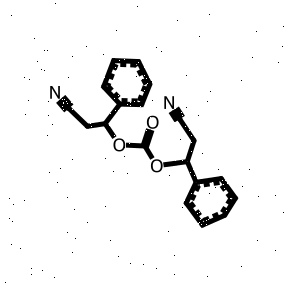 N#CCC(OC(=O)OC(CC#N)c1ccccc1)c1ccccc1